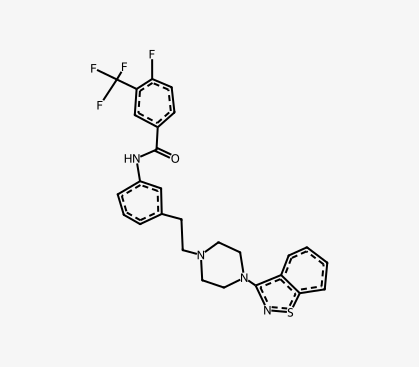 O=C(Nc1cccc(CCN2CCN(c3nsc4ccccc34)CC2)c1)c1ccc(F)c(C(F)(F)F)c1